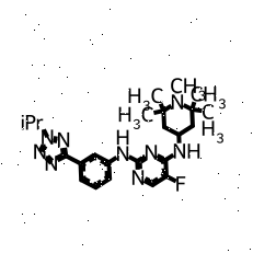 CC(C)n1nnc(-c2cccc(Nc3ncc(F)c(NC4CC(C)(C)N(C)C(C)(C)C4)n3)c2)n1